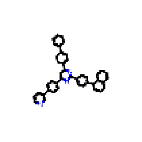 C1=CC2=CC=CC(c3ccc(-c4nc(C5=CC=C(c6ccccc6)CC5)cc(-c5ccc(-c6cccnc6)cc5)n4)cc3)C2C=C1